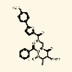 CCCCCC(C(=O)NCNC(=O)c1ccc(-c2ccc(C(=O)O)cc2)o1)C(CC)N(C=O)OC(=O)c1ccccc1